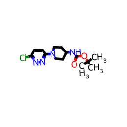 CC(C)(C)OC(=O)NC1CCN(c2ccc(Cl)nn2)CC1